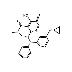 CN1C[C@@H]([C@@H](c2ccccc2)c2cccc(OC3CC3)c2)n2ncc(=O)c(O)c2C1=O